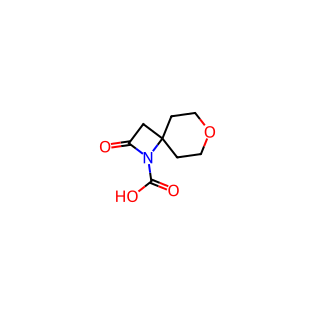 O=C(O)N1C(=O)CC12CCOCC2